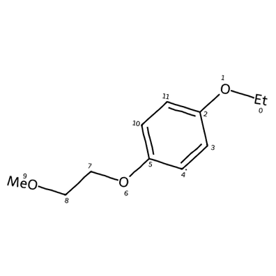 CCOc1c[c]c(OCCOC)cc1